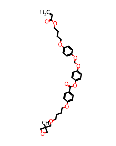 C=CC(=O)OCCCCOc1ccc(OCOc2ccc(OC(=O)c3ccc(OCCCCOCC4(C)COC4)cc3)cc2)cc1